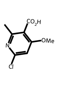 COc1cc(Cl)nc(C)c1C(=O)O